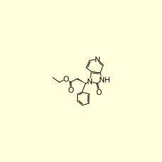 CCOC(=O)C[C@H](c1ccccc1)n1c(=O)[nH]c2cnccc21